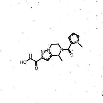 CC1c2cc(C(=O)NO)nn2CCN1C(=O)c1cccn1C